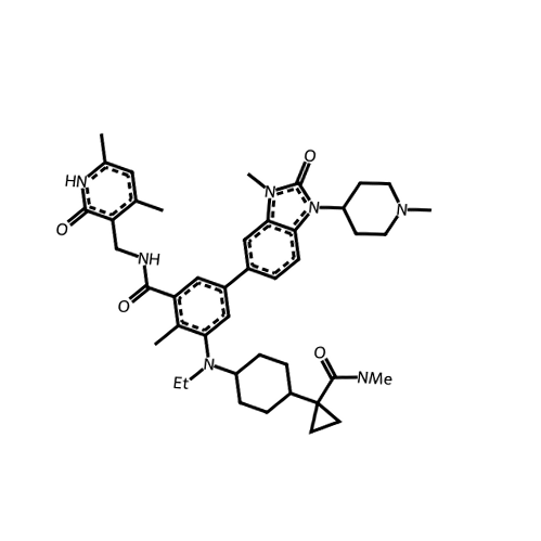 CCN(c1cc(-c2ccc3c(c2)n(C)c(=O)n3C2CCN(C)CC2)cc(C(=O)NCc2c(C)cc(C)[nH]c2=O)c1C)C1CCC(C2(C(=O)NC)CC2)CC1